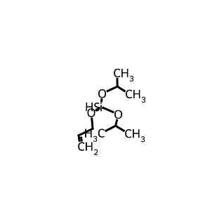 C=CCO[SiH](OC(C)C)OC(C)C